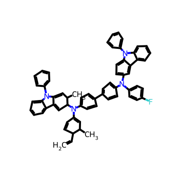 C=CC1C=CC(N(c2ccc(-c3ccc(N(c4ccc(F)cc4)c4ccc5c(c4)c4ccccc4n5-c4ccccc4)cc3)cc2)C2C=c3c(n(-c4ccccc4)c4ccccc34)=CC2C)=CC1C